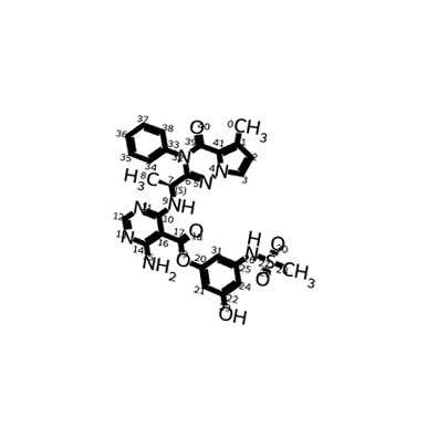 Cc1ccn2nc([C@H](C)Nc3ncnc(N)c3C(=O)Oc3cc(O)cc(NS(C)(=O)=O)c3)n(-c3ccccc3)c(=O)c12